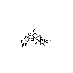 CCOC(=O)C(C)=NO[PH](=O)c1cc(Oc2ccc(C(F)(F)F)cc2Cl)c(CC)cc1N=O